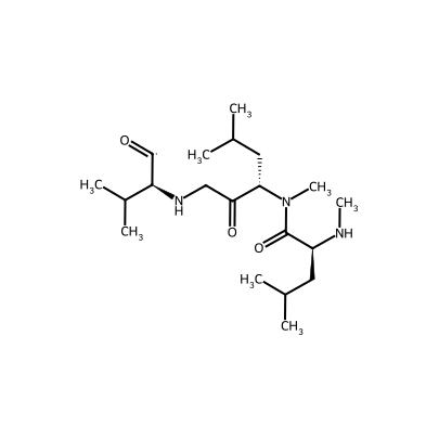 CN[C@@H](CC(C)C)C(=O)N(C)[C@@H](CC(C)C)C(=O)CN[C@H]([C]=O)C(C)C